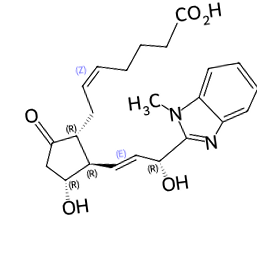 Cn1c([C@H](O)/C=C/[C@H]2[C@H](O)CC(=O)[C@@H]2C/C=C\CCCC(=O)O)nc2ccccc21